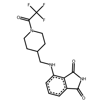 O=C1NC(=O)c2c(NCC3CCN(C(=O)C(F)(F)F)CC3)cccc21